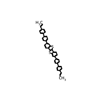 CC=Cc1ccc(-c2ccc(-c3ccc4c(c3)sc3c5ccc(-c6ccc(-c7ccc(C=CC)cc7)cc6)cc5sc43)cc2)cc1